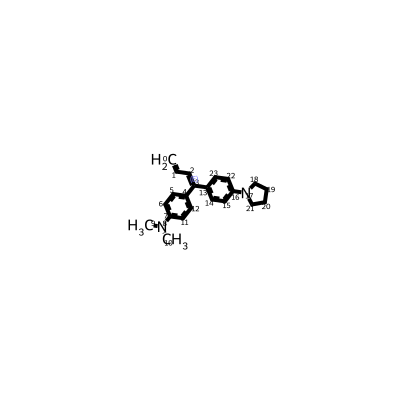 C=C/C=C(\c1ccc(N(C)C)cc1)c1ccc(N2CCCC2)cc1